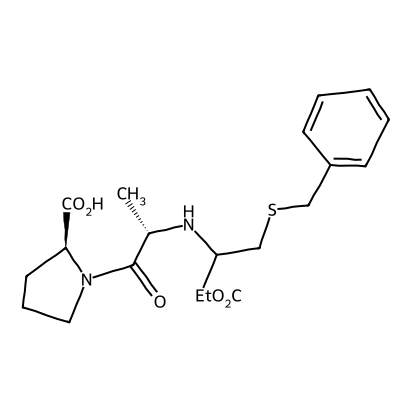 CCOC(=O)C(CSCc1ccccc1)N[C@@H](C)C(=O)N1CCC[C@H]1C(=O)O